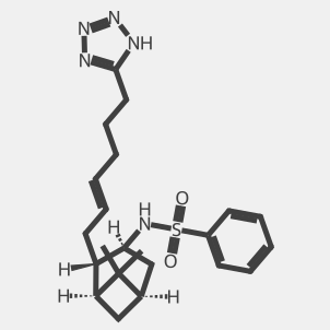 CC1(C)[C@H]2C[C@H](NS(=O)(=O)c3ccccc3)[C@@H](CC=CCCCc3nnn[nH]3)[C@@H]1C2